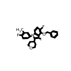 Cc1cc(-n2c(C3CCOCC3)c(I)c3c(OCc4ccccc4)c(F)ccc32)ccc1F